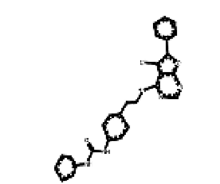 O=C(Nc1ccccc1)Nc1ccc(CCNc2ncnc3oc(-c4ccccc4)c(Cl)c23)cc1